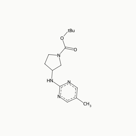 Cc1cnc(NC2CCN(C(=O)OC(C)(C)C)C2)nc1